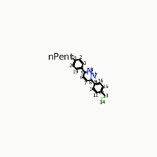 CCCCCc1ccc(-c2ccc(-c3ccc(CF)cc3)nn2)cc1